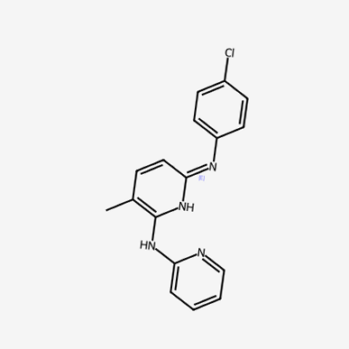 Cc1cc/c(=N\c2ccc(Cl)cc2)[nH]c1Nc1ccccn1